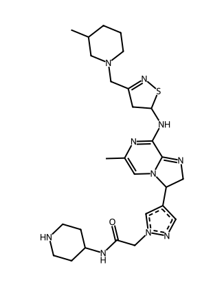 CC1=CN2C(=NCC2c2cnn(CC(=O)NC3CCNCC3)c2)C(NC2CC(CN3CCCC(C)C3)=NS2)=N1